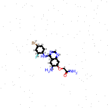 NC(=O)COc1cc2ncnc(Nc3ccc(Br)cc3F)c2cc1N